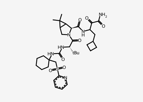 CC1(C)C2CN(C(=O)[C@@H](NC(=O)NC3(CS(=O)(=O)c4ccccn4)CCCCC3)C(C)(C)C)[C@H](C(=O)NC(CC3CCC3)C(=O)C(N)=O)C21